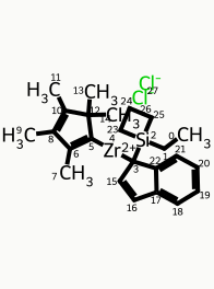 CC[Si]1([C]2([Zr+2][C]3=C(C)C(C)=C(C)C3(C)C)C=Cc3ccccc32)CCC1.[Cl-].[Cl-]